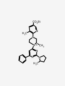 CCOC(=O)c1cnc(N2CCN(c3cc(-c4ccccc4)nc(N4CCCC4C)n3)[C@H](C)C2)c(C)c1